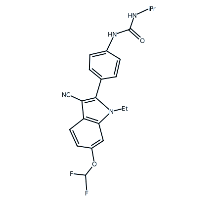 CCn1c(-c2ccc(NC(=O)NC(C)C)cc2)c(C#N)c2ccc(OC(F)F)cc21